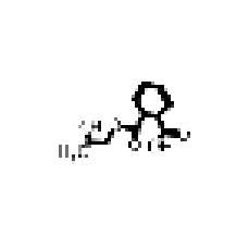 CC(C)COC(=O)C1C=CC=CC1C(=O)O